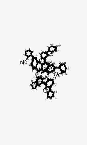 N#Cc1ccccc1-c1ccc(-c2nc(-c3ccccc3)nc(-c3ccc(-c4ccccc4C#N)cc3-n3c4ccccc4c4c5oc6ccccc6c5ccc43)n2)c(-n2c3ccccc3c3c4oc5ccccc5c4ccc32)c1